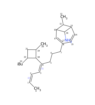 C/C=C\C=C(\CCCC1=CC2C(C)C(C=C1)C2N)C1C(C)CC1C(C)CC